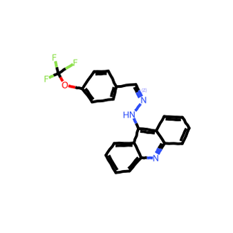 FC(F)(F)Oc1ccc(/C=N\Nc2c3ccccc3nc3ccccc23)cc1